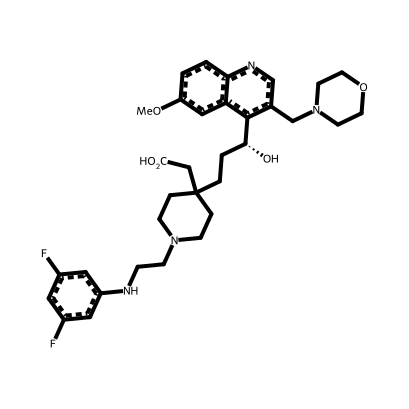 COc1ccc2ncc(CN3CCOCC3)c([C@H](O)CCC3(CC(=O)O)CCN(CCNc4cc(F)cc(F)c4)CC3)c2c1